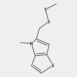 CSSCc1cc2sccc2n1C